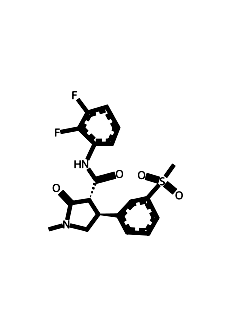 CN1C[C@H](c2cccc(S(C)(=O)=O)c2)[C@@H](C(=O)Nc2cccc(F)c2F)C1=O